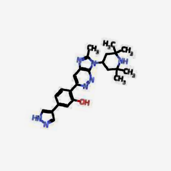 Cc1nc2cc(-c3ccc(-c4cn[nH]c4)cc3O)nnc2n1C1CC(C)(C)NC(C)(C)C1